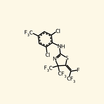 FC(=C1SC(Nc2c(Cl)cc(C(F)(F)F)cc2Cl)=NC1(C(F)(F)F)C(F)(F)F)C(F)(F)F